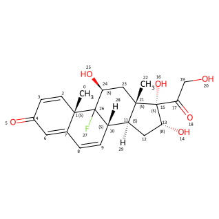 C[C@]12C=CC(=O)C=C1C=C[C@H]1[C@@H]3C[C@@H](O)[C@](O)(C(=O)CO)[C@@]3(C)C[C@H](O)C12F